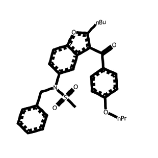 CCCCc1oc2ccc(N(Cc3ccccc3)S(C)(=O)=O)cc2c1C(=O)c1ccc(OCCC)cc1